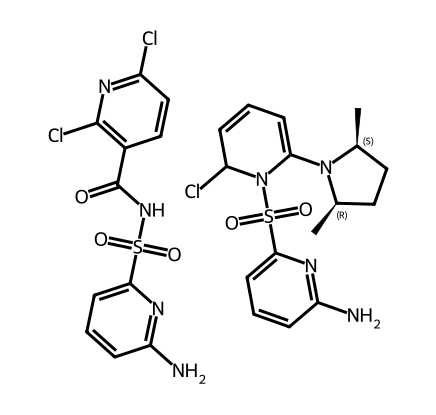 C[C@@H]1CC[C@H](C)N1C1=CC=CC(Cl)N1S(=O)(=O)c1cccc(N)n1.Nc1cccc(S(=O)(=O)NC(=O)c2ccc(Cl)nc2Cl)n1